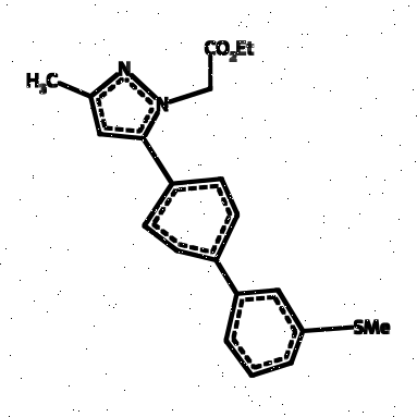 CCOC(=O)Cn1nc(C)cc1-c1ccc(-c2cccc(SC)c2)cc1